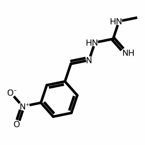 CNC(=N)NN=Cc1cccc([N+](=O)[O-])c1